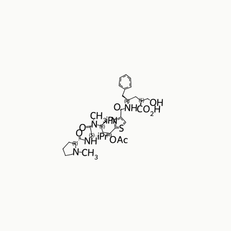 CC(=O)O[C@H](C[C@H](C(C)C)N(C)C(=O)[C@@H](NC(=O)[C@H]1CCCCN1C)C(C)C)c1nc(C(=O)N[C@@H](Cc2ccccc2)C[C@@H](CO)C(=O)O)cs1